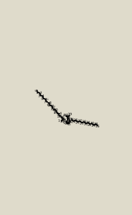 CCCCCCCCCCCCCCCCCC(C)[n+]1ccn(CCCCCCCCCCCCCC)c1C(C)C